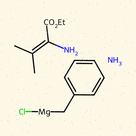 CCOC(=O)C(N)=C(C)C.N.[Cl][Mg][CH2]c1ccccc1